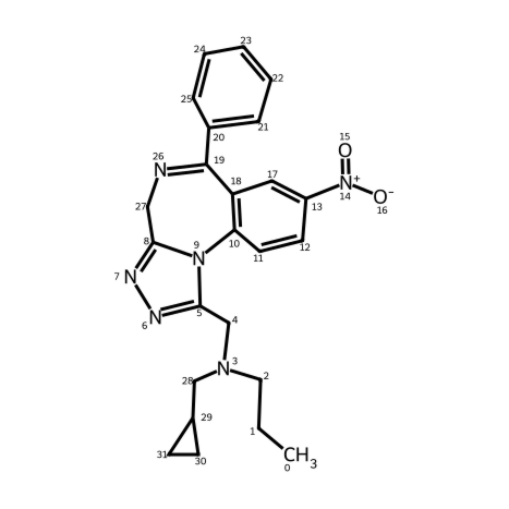 CCCN(Cc1nnc2n1-c1ccc([N+](=O)[O-])cc1C(c1ccccc1)=NC2)CC1CC1